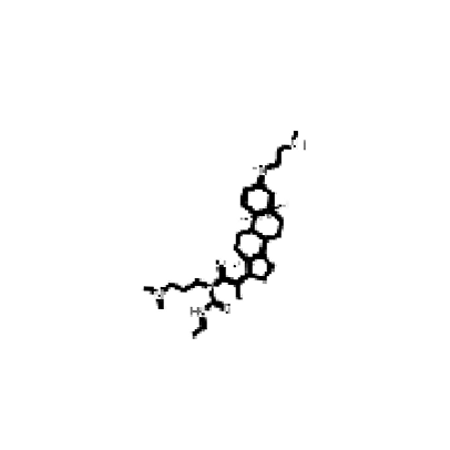 CCNC(=O)N(CCCN(C)C)C(=O)C(C)C1CCC2C3CC[C@H]4CC(NCCNC)CC[C@]4(C)C3CC[C@]12C